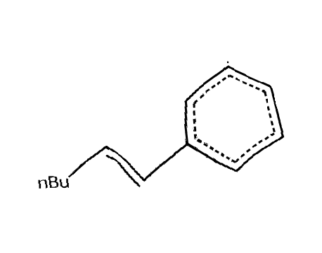 CCCC/C=C/c1c[c]ccc1